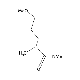 CNC(=O)C(C)CCCOC